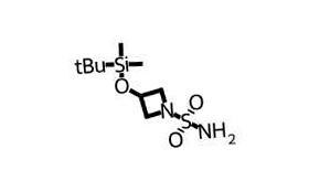 CC(C)(C)[Si](C)(C)OC1CN(S(N)(=O)=O)C1